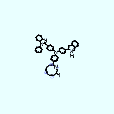 IC1/C=C\C=C/C/C=C(c2ccc(N(c3ccc(C4=NC5C=CC=CC5N4c4ccccc4)cc3)c3ccc(C4C=c5ccccc5=CN4)cc3)cc2)\N=C/1